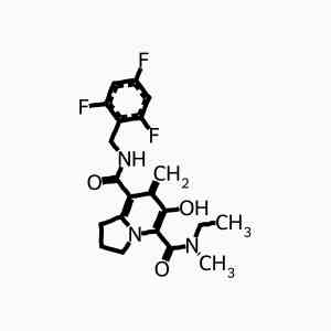 C=C1C(O)=C(C(=O)N(C)CC)N2CCCC2=C1C(=O)NCc1c(F)cc(F)cc1F